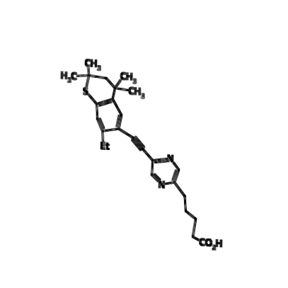 CCc1cc2c(cc1C#Cc1cnc(CCCCC(=O)O)cn1)C(C)(C)CC(C)(C)S2